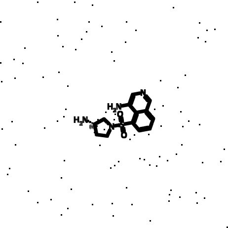 Nc1cncc2cccc(S(=O)(=O)N3CC[C@H](N)C3)c12